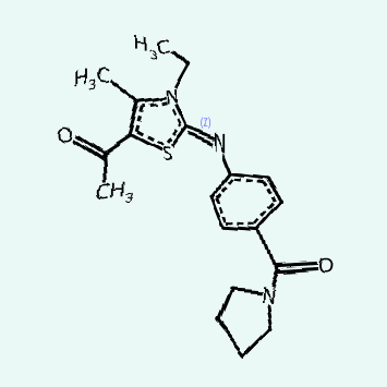 CCn1c(C)c(C(C)=O)s/c1=N\c1ccc(C(=O)N2CCCC2)cc1